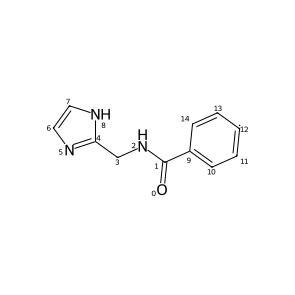 O=C(NCc1ncc[nH]1)c1cc[c]cc1